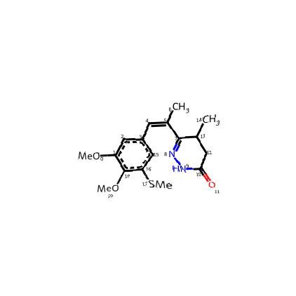 COc1cc(C=C(C)C2=NNC(=O)CC2C)cc(SC)c1OC